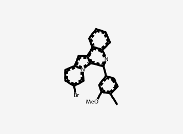 COc1cc(-c2nc3ccccc3c3cc4ccc(Br)cn4c23)ccc1C